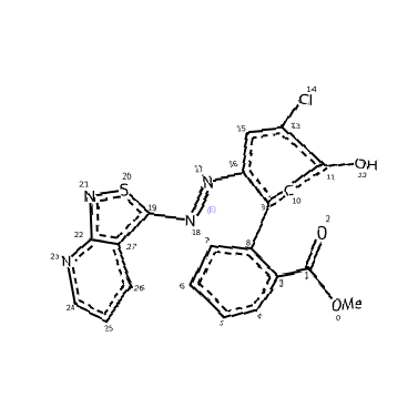 COC(=O)c1ccccc1-c1cc(O)c(Cl)cc1/N=N/c1snc2ncccc12